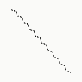 C=CC=CC=CC=CC=CC=CCCCCCCCC